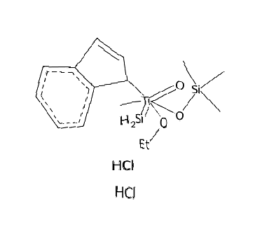 CC[O][Ti]([CH3])(=[O])(=[SiH2])([O][Si](C)(C)C)[CH]1C=Cc2ccccc21.Cl.Cl